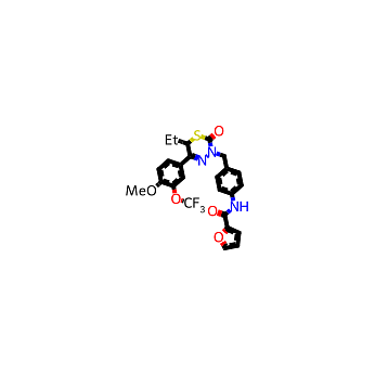 CCC1SC(=O)N(Cc2ccc(NC(=O)c3ccco3)cc2)N=C1c1ccc(OC)c(OC(F)(F)F)c1